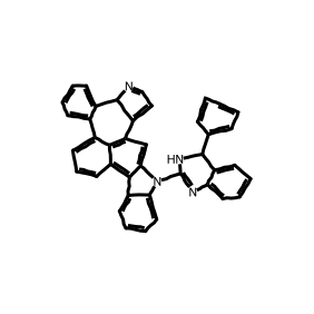 C1=NC2C(=C1)c1cc3c(c4cccc(c14)-c1ccccc12)c1ccccc1n3C1=Nc2ccccc2C(c2ccccc2)N1